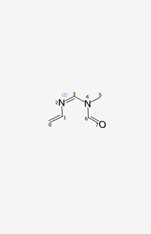 C=C/N=C\N(C)C=O